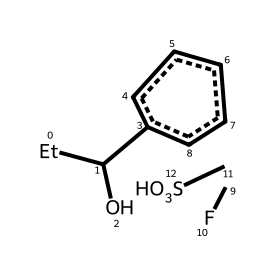 CCC(O)c1ccccc1.CF.CS(=O)(=O)O